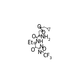 CC[C@H](NC(=O)[C@@H](N)CS(=O)(=O)CC1CC1)C(=O)c1noc(C(F)(F)F)n1